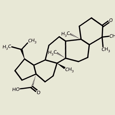 CC(C)[C@@H]1CC[C@]2(C(=O)O)CC[C@]3(C)C(CCC4[C@@]5(C)CCC(=O)C(C)(C)C5CC[C@]43C)C12